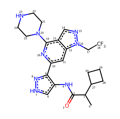 CC(C(=O)Nc1c[nH]nc1-c1cc2c(cnn2CC(F)(F)F)c(N2CCNCC2)n1)C1CCC1